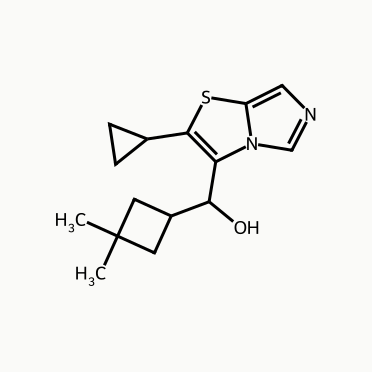 CC1(C)CC(C(O)c2c(C3CC3)sc3cncn23)C1